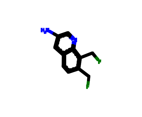 Nc1cnc2c(CF)c(CF)ccc2c1